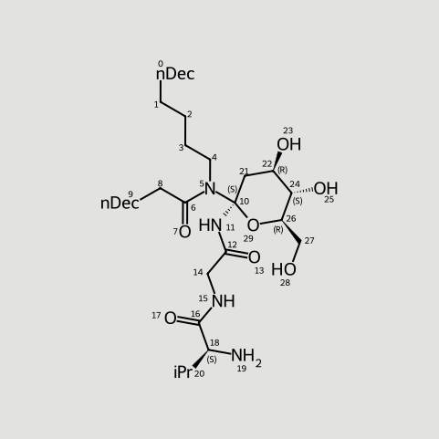 CCCCCCCCCCCCCCN(C(=O)CCCCCCCCCCC)[C@@]1(NC(=O)CNC(=O)[C@@H](N)C(C)C)C[C@@H](O)[C@H](O)[C@@H](CO)O1